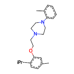 Cc1ccc(C(C)C)c(OCCN2CCN(c3ccccc3C)CC2)c1